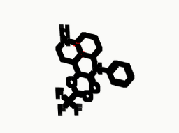 O=C(C(OC(=O)C(F)(F)F)C1CCNCC1)N(c1ccccc1)C1CCCCC1